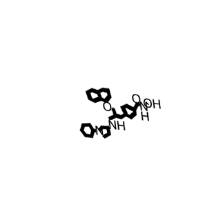 O=C(NO)c1ccc(/C=C(/CNC2CCN(C3CCCCC3)C2)COc2cccc3ccccc23)cc1